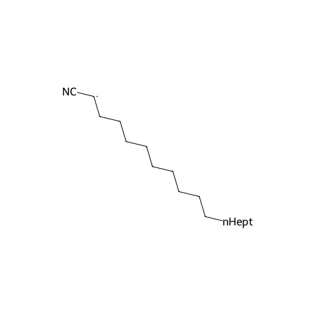 CCCCCCCCCCCCCCCC[CH]C#N